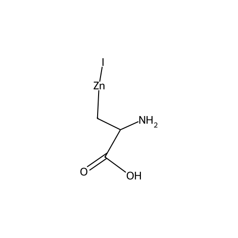 NC([CH2][Zn][I])C(=O)O